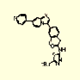 CC(C)(C)c1nnc(NC(=O)Cc2ccc(-c3cnc4cc(-c5ccncc5)ccn34)cc2Cl)s1